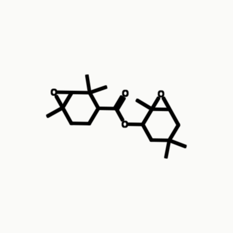 CC1(C)CC(OC(=O)C2CCC3(C)OC3C2(C)C)C2(C)OC2C1